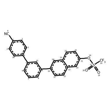 N#Cc1ccc(-c2cccc(-c3ccc4cc(OS(=O)(=O)C(F)(F)F)ccc4c3)c2)cc1